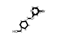 OC[C@H]1CC[C@H](COc2cc(Br)ccn2)CC1